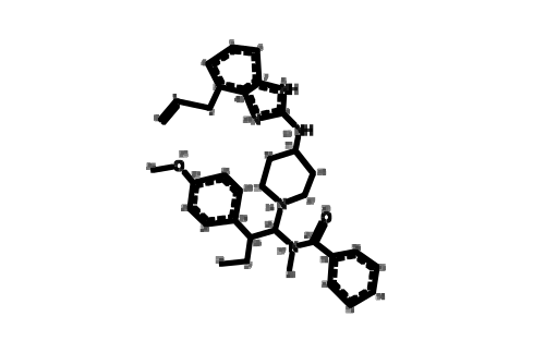 C=CCc1cccc2[nH]c(NC3CCN(C(C(CC)c4ccc(OC)cc4)N(C)C(=O)c4ccccc4)CC3)nc12